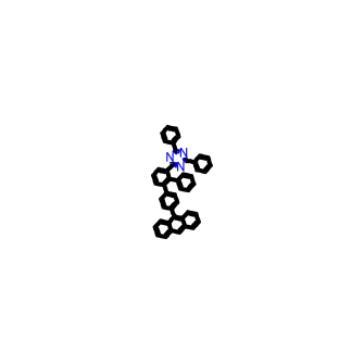 c1ccc(-c2nc(-c3ccccc3)nc(-c3cccc(-c4ccc(-c5c6ccccc6cc6ccccc56)cc4)c3-c3ccccc3)n2)cc1